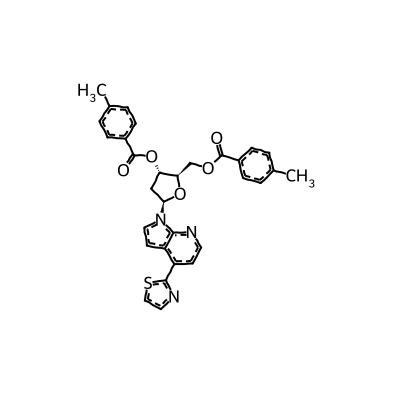 Cc1ccc(C(=O)OC[C@H]2O[C@@H](n3ccc4c(-c5nccs5)ccnc43)C[C@@H]2OC(=O)c2ccc(C)cc2)cc1